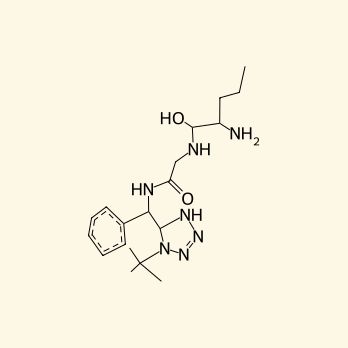 CCCC(N)C(O)NCC(=O)NC(c1ccccc1)C1NN=NN1C(C)(C)C